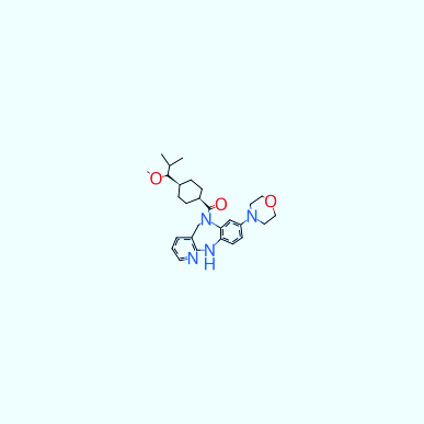 COC(C(C)C)[C@H]1CC[C@@H](C(=O)N2Cc3cccnc3Nc3ccc(N4CCOCC4)cc32)CC1